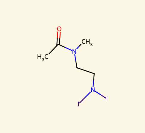 CC(=O)N(C)CCN(I)I